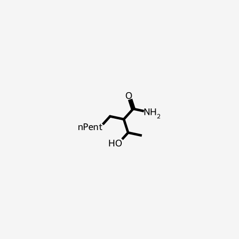 CCCCCCC(C(N)=O)C(C)O